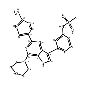 CS(=O)(=O)Nc1cccc(-c2csc3c(N4CCOCC4)nc(-c4cnc(N)nc4)nc23)c1